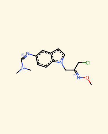 CO/N=C(\CCl)Cn1ccc2cc(/N=C\N(C)C)ccc21